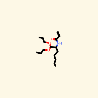 C=CC(=O)NC(CCCCC)C(OCCC)OCCC